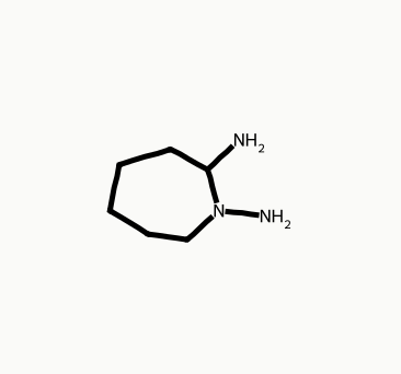 NC1CCCCCN1N